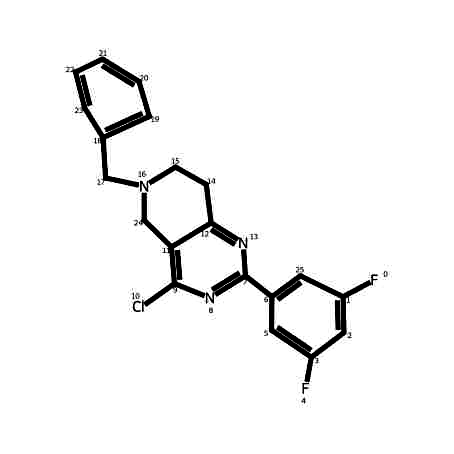 Fc1cc(F)cc(-c2nc(Cl)c3c(n2)CCN(Cc2ccccc2)C3)c1